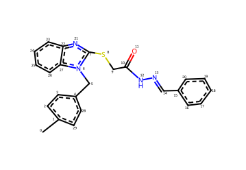 Cc1ccc(Cn2c(SCC(=O)N/N=C/c3ccccc3)nc3ccccc32)cc1